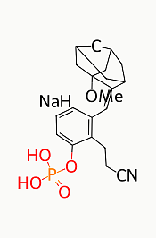 COC12CC3CC(CC(C3)C1=Cc1cccc(OP(=O)(O)O)c1CCC#N)C2.[NaH]